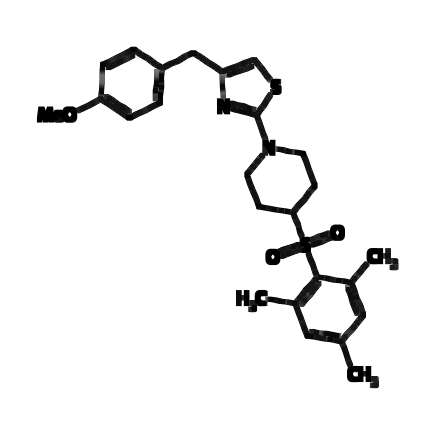 COc1ccc(Cc2csc(N3CCC(S(=O)(=O)c4c(C)cc(C)cc4C)CC3)n2)cc1